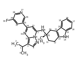 CC(C)c1cnn2c(N[C@@]3(C)CCc4[nH]c5ccccc5c4C3)cc(-c3cncc(F)c3)nc12